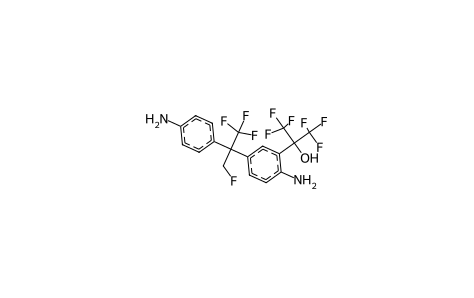 Nc1ccc(C(CF)(c2ccc(N)c(C(O)(C(F)(F)F)C(F)(F)F)c2)C(F)(F)F)cc1